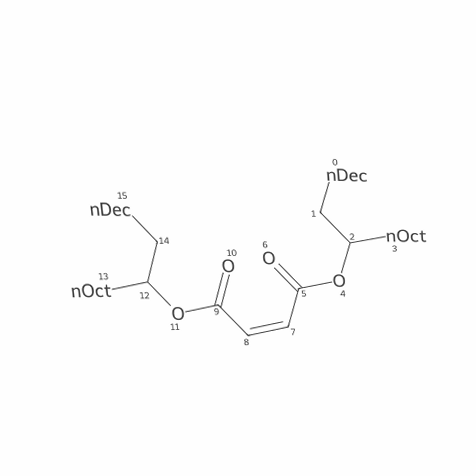 CCCCCCCCCCCC(CCCCCCCC)OC(=O)/C=C\C(=O)OC(CCCCCCCC)CCCCCCCCCCC